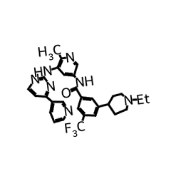 CCN1CCC(c2cc(C(=O)Nc3cnc(C)c(Nc4nccc(-c5cccnc5)n4)c3)cc(C(F)(F)F)c2)CC1